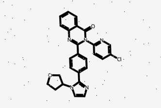 O=c1c2ccccc2nc(-c2ccc(-c3nccn3C3CCOC3)cc2)n1-c1ccc(Cl)cn1